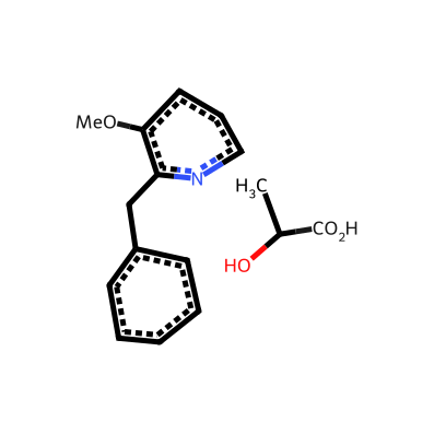 CC(O)C(=O)O.COc1cccnc1Cc1ccccc1